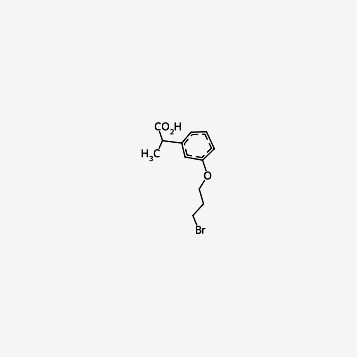 CC(C(=O)O)c1cccc(OCCCBr)c1